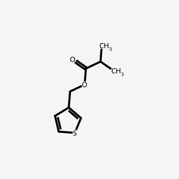 CC(C)C(=O)OCc1ccsc1